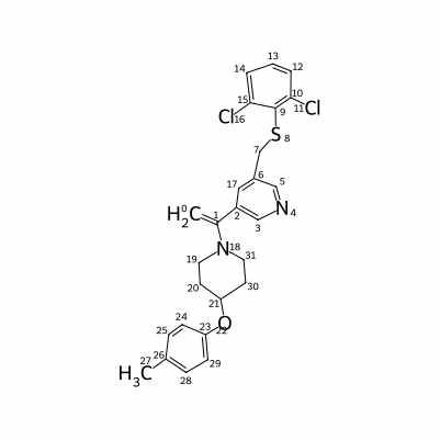 C=C(c1cncc(CSc2c(Cl)cccc2Cl)c1)N1CCC(Oc2ccc(C)cc2)CC1